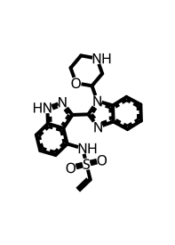 C=CS(=O)(=O)Nc1cccc2[nH]nc(-c3nc4ccccc4n3C3CNCCO3)c12